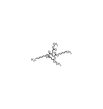 CCCCCCCCN(NCCC(=O)OCC)C(=O)N(CCC(=O)OCC)CCC(=O)OCCCCCC